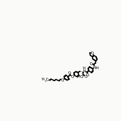 CCCCCCCOc1ccc(C(=O)Oc2ccc(C[C@H](NC(=O)c3ccc(NC(=O)Cc4ccc5c(c4)CCO5)cc3)C(=O)O)cc2)cc1